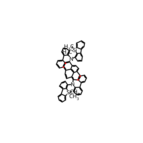 C[Si]1(C)c2ccccc2-c2cccc(N(c3ccccc3-c3ccccc3)c3ccc4ccc5c(N(c6ccccc6-c6ccccc6)c6cccc7c6[Si](C)(C)c6ccccc6-7)ccc6ccc3c4c65)c21